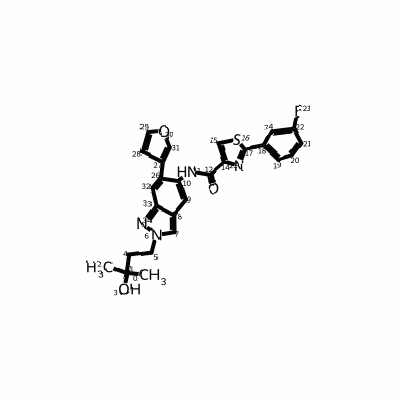 CC(C)(O)CCn1cc2cc(NC(=O)c3csc(-c4cccc(F)c4)n3)c(-c3ccoc3)cc2n1